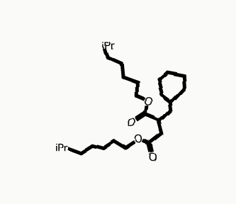 CC(C)CCCCCOC(=O)CC(CC1CCCCC1)C(=O)OCCCCCC(C)C